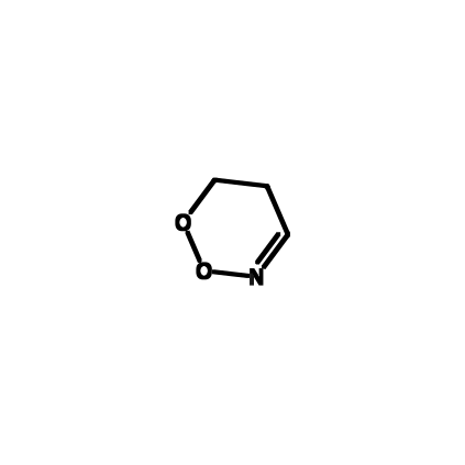 C1=NOOCC1